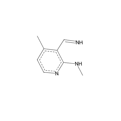 CNc1nccc(C)c1C=N